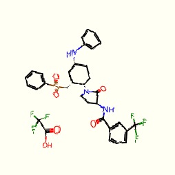 O=C(N[C@H]1CCN([C@H]2CC[C@@H](Nc3ccccc3)C[C@H]2CS(=O)(=O)c2ccccc2)C1=O)c1cccc(C(F)(F)F)c1.O=C(O)C(F)(F)F